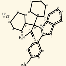 COc1ccc(-c2nc3ccccc3n2C(C(N)=O)(C2CCCCC2)C2CCCCC2)cc1.[Cl-].[H+]